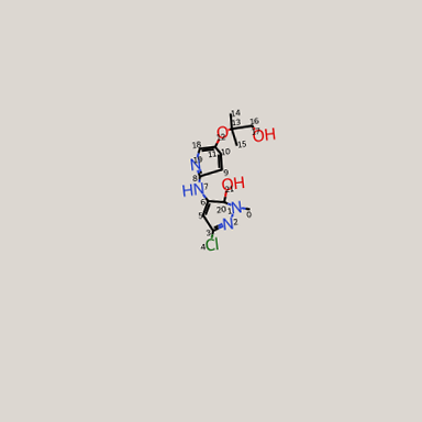 CN1N=C(Cl)C=C(Nc2ccc(OC(C)(C)CO)cn2)C1O